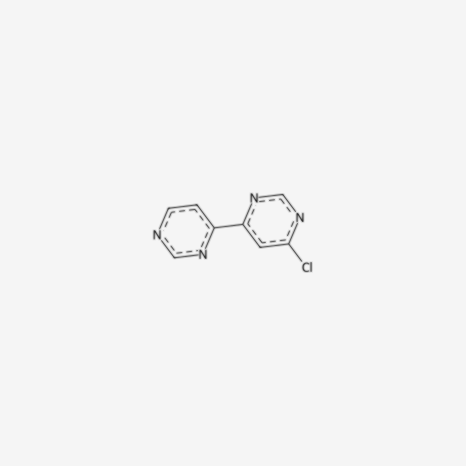 Clc1cc(-c2ccncn2)ncn1